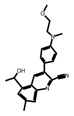 COCCN(C)c1ccc(-c2cc3c(C(C)O)cc(C)cc3nc2C#N)cc1